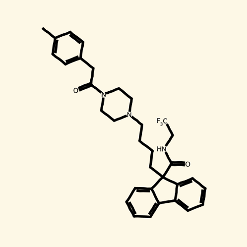 Cc1ccc(CC(=O)N2CCN(CCCCC3(C(=O)NCC(F)(F)F)c4ccccc4-c4ccccc43)CC2)cc1